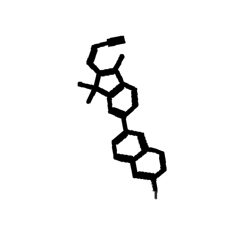 C#C/C=C\C1=C(C)c2ccc(-c3ccc4cc(I)ccc4c3)cc2C1(C)C